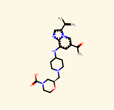 C=C(C)c1cnc2c(NC3CCN(C[C@@H]4CN(C(=O)O)CCO4)CC3)cc(C(C)=O)cn12